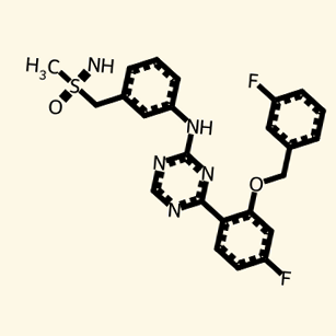 CS(=N)(=O)Cc1cccc(Nc2ncnc(-c3ccc(F)cc3OCc3cccc(F)c3)n2)c1